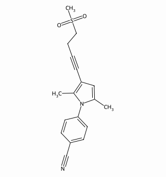 Cc1cc(C#CCCS(C)(=O)=O)c(C)n1-c1ccc(C#N)cc1